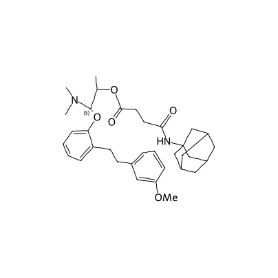 COc1cccc(CCc2ccccc2O[C@@H](C(C)OC(=O)CCC(=O)NC23CC4CC(CC(C4)C2)C3)N(C)C)c1